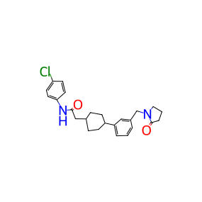 O=C(CC1CCC(c2cccc(CN3CCCC3=O)c2)CC1)Nc1ccc(Cl)cc1